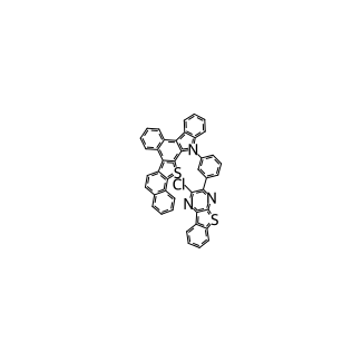 Clc1nc2c(nc1-c1cccc(-n3c4ccccc4c4c5ccccc5c5c6ccc7ccccc7c6sc5c43)c1)sc1ccccc12